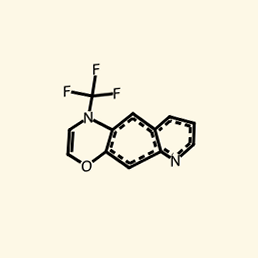 FC(F)(F)N1C=COc2cc3ncccc3cc21